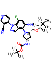 CC(C)(C)OC(=O)N[C@H]1C[C@@H](CO[Si](C)(C)C(C)(C)C)N(c2c(N)cc(F)c3c2cnn3-c2ccncc2C#N)C1